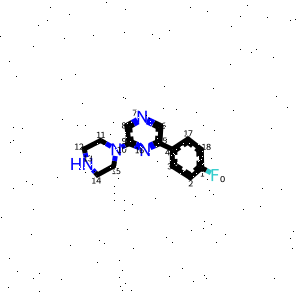 Fc1ccc(-c2cncc(N3CCNCC3)n2)cc1